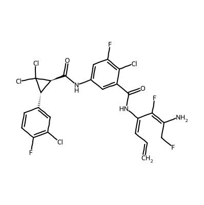 C=C/C=C(NC(=O)c1cc(NC(=O)[C@H]2[C@H](c3ccc(F)c(Cl)c3)C2(Cl)Cl)cc(F)c1Cl)\C(F)=C(\N)CF